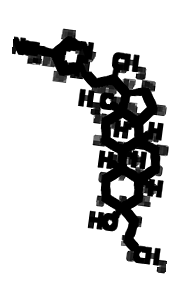 CCC[C@@]1(O)CC[C@H]2[C@@H](CC[C@@H]3[C@@H]2CC[C@]2(C)[C@@H]([C@@H](C)Cn4cc(C#N)cn4)CC[C@@H]32)C1